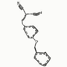 N#CC(C#N)=Cc1ccc(OCc2ccccc2)cc1